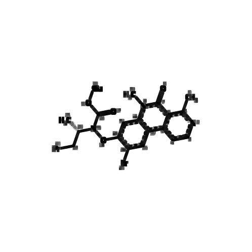 Cc1nccc2c1c(=O)n(C)c1cc(ON(C(=O)OC(C)(C)C)[C@@H](C)CC(C)C)c(Br)cc21